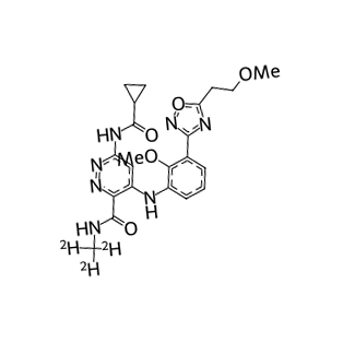 [2H]C([2H])([2H])NC(=O)c1nnc(NC(=O)C2CC2)cc1Nc1cccc(-c2noc(CCOC)n2)c1OC